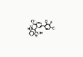 CCc1ccc(-c2ccc(Cl)c(F)c2Cl)cc1C1=C(O)[C@H]2CC[C@H](C2)C1=O